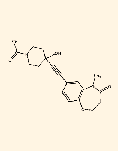 CC(=O)N1CCC(O)(C#Cc2ccc3c(c2)N(C)C(=O)CCO3)CC1